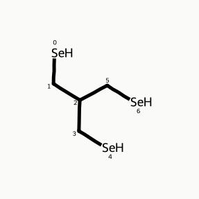 [SeH]CC(C[SeH])C[SeH]